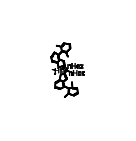 CCCCCC[Si]1(CCCCCC)C2=Cc3c(-c4c(C)cccc4C)cccc3[CH]2[Hf]([CH3])([CH3])[CH]2C1=Cc1c(-c3c(C)cccc3C)cccc12